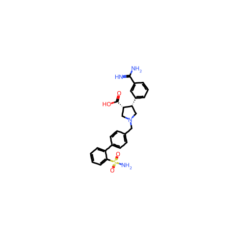 N=C(N)c1cccc([C@@H]2CN(Cc3ccc(-c4ccccc4S(N)(=O)=O)cc3)C[C@@H]2C(=O)O)c1